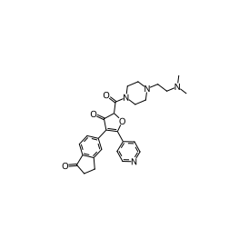 CN(C)CCN1CCN(C(=O)C2OC(c3ccncc3)=C(c3ccc4c(c3)CCC4=O)C2=O)CC1